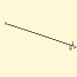 S=C(S)NCCCCCCCCCCCCCCCCCCCCCCCCCCCCCCCCCCCCBr